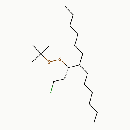 CCCCCCC(CCCCCC)[C@H](CCF)SSC(C)(C)C